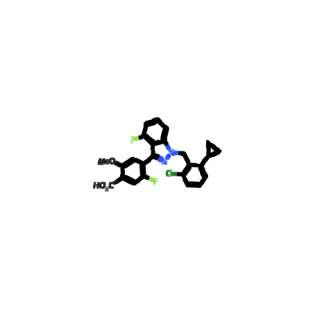 COc1cc(-c2nn(Cc3c(Cl)cccc3C3CC3)c3cccc(F)c23)c(F)cc1C(=O)O